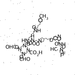 C#C[C@H]1CC(F)(F)CN1C(=O)CNC(=O)c1ccnc2ccc(OCCCC3CCN(C(=O)CC(=O)NC(=O)[C@H](CCCCCNC(=O)CCCc4ccc(C)cc4)NC(=O)CN4CCN(COC=O)CCN(COC=O)CCN(CC(=O)O)CC4)CC3)cc12